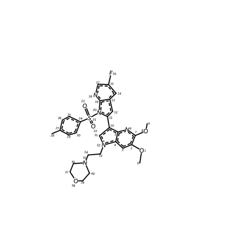 COc1cc2c(nc1OC)c(-c1cc3cc(F)cnc3n1S(=O)(=O)c1ccc(C)cc1)cn2CCN1CCOCC1